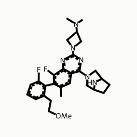 COCCc1cccc(F)c1-c1c(C)cc2c(N3CC4CCC(C3)N4)nc(N3CC(N(C)C)C3)nc2c1F